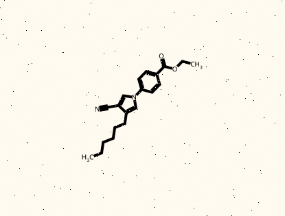 CCCCCCc1cn(-c2ccc(C(=O)OCC)cc2)cc1C#N